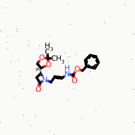 CC1(C)OC[C@@H](C2CC(=O)N2CC=CNC(=O)OCc2ccccc2)O1